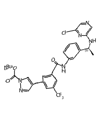 C[C@H](Nc1cncc(Cl)n1)c1cccc(NC(=O)c2cc(-c3cnn(C(=O)OC(C)(C)C)c3)cc(C(F)(F)F)c2)c1